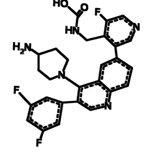 NC1CCN(c2c(-c3cc(F)cc(F)c3)cnc3ccc(-c4cncc(F)c4CNC(=O)O)cc23)CC1